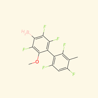 Bc1c(F)c(F)c(-c2c(F)cc(F)c(C)c2F)c(OC)c1F